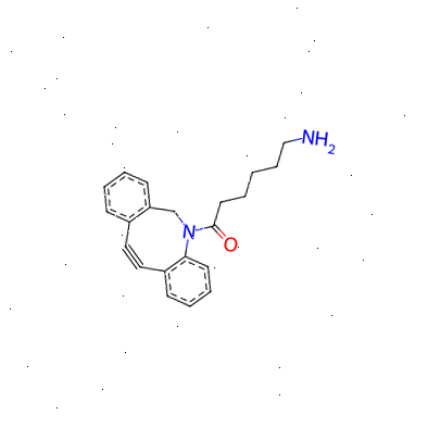 NCCCCCC(=O)N1Cc2ccccc2C#Cc2ccccc21